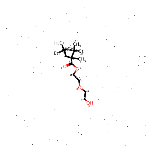 CCC(C)(C)CC(C)(C(=O)OCCOCCO)C(C)(C)CC